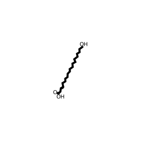 O=C(O)C/C=C/CCCCCCCCCCCCCCCCO